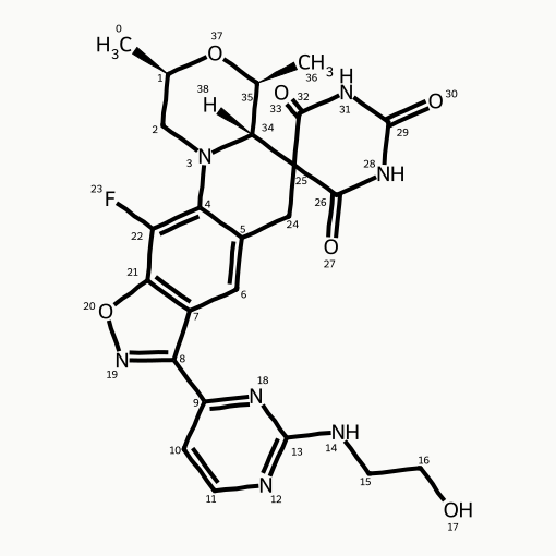 C[C@@H]1CN2c3c(cc4c(-c5ccnc(NCCO)n5)noc4c3F)CC3(C(=O)NC(=O)NC3=O)[C@H]2[C@H](C)O1